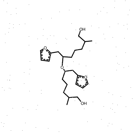 CC(CO)CCCC(Cc1ccco1)OC(CCCC(C)CO)Cc1ccco1